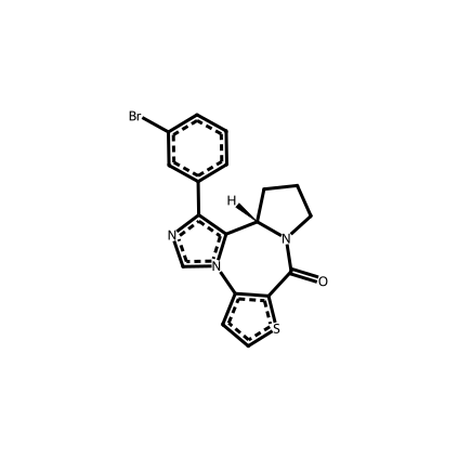 O=C1c2sccc2-n2cnc(-c3cccc(Br)c3)c2[C@@H]2CCCN12